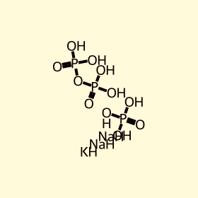 O=P(O)(O)O.O=P(O)(O)OP(=O)(O)O.[KH].[NaH].[NaH]